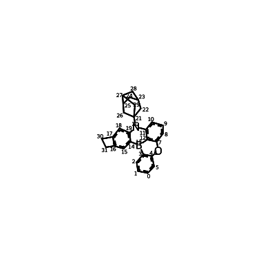 c1ccc2c(c1)Oc1cccc3c1B2c1cc2c(cc1N3C13CC4CC(C1)C(C4)C3)CC2